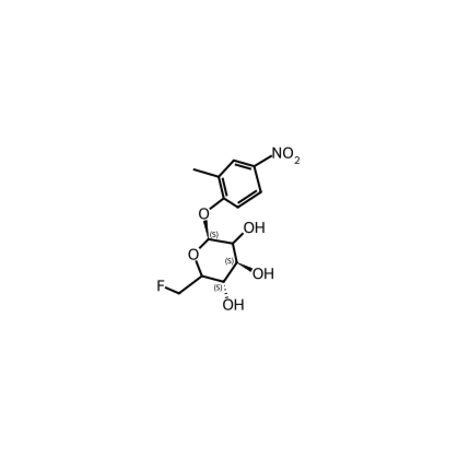 Cc1cc([N+](=O)[O-])ccc1O[C@@H]1OC(CF)[C@@H](O)[C@H](O)C1O